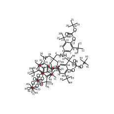 CN(CC(CNc1cc(C(C)(C)C)c(OC(=O)OC(C)(C)C)c(C(C)(C)C)c1)(CN(C)c1cc(C(C)(C)C)c(OC(=O)OC(C)(C)C)c(C(C)(C)C)c1)CN(C)c1cc(C(C)(C)C)c(OC(=O)OC(C)(C)C)c(C(C)(C)C)c1)c1cc(C(C)(C)C)c(OC(=O)OC(C)(C)C)c(C(C)(C)C)c1